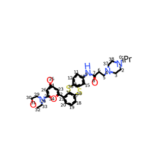 CC(C)N1CCN(CCC(=O)Nc2ccc3c(c2)Sc2cccc(-c4cc(=O)cc(N5CCOCC5)o4)c2S3)CC1